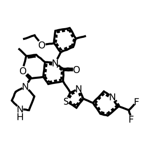 CCOc1ccc(C)cc1-n1c(C=C(C)C)c(C(=O)N2CCNCC2)cc(-c2nc(-c3ccc(C(F)F)nc3)cs2)c1=O